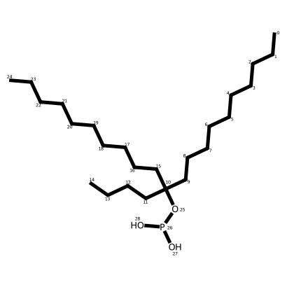 CCCCCCCCCCC(CCCC)(CCCCCCCCCC)OP(O)O